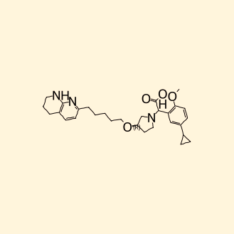 COc1ccc(C2CC2)cc1C(C(=O)O)N1CC[C@@H](OCCCCCc2ccc3c(n2)NCCC3)C1